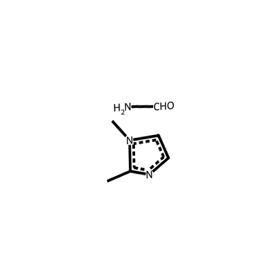 Cc1nccn1C.NC=O